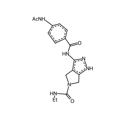 CCNC(=O)N1Cc2[nH]nc(NC(=O)c3ccc(NC(C)=O)cc3)c2C1